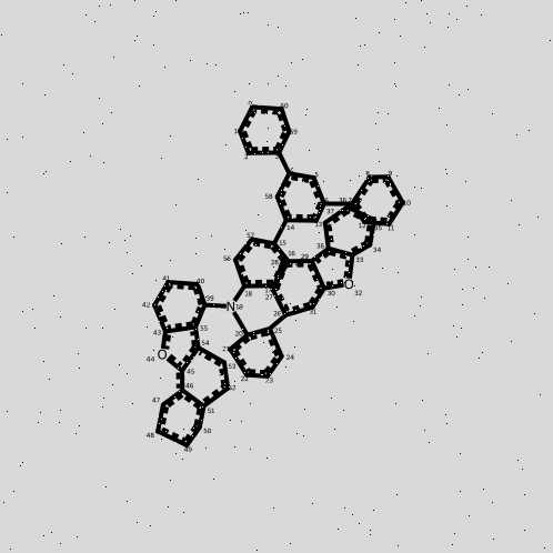 c1ccc(-c2cc(-c3ccccc3)cc(-c3ccc(N(c4ccccc4-c4ccc5c(c4)oc4ccccc45)c4cccc5oc6c7ccccc7ccc6c45)cc3)c2)cc1